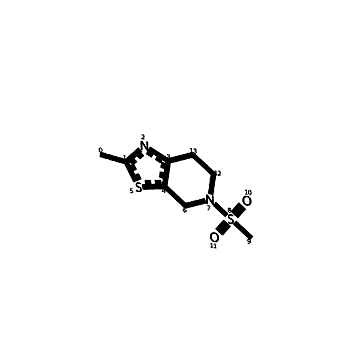 Cc1nc2c(s1)CN(S(C)(=O)=O)CC2